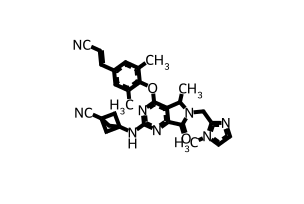 Cc1cc(/C=C/C#N)cc(C)c1Oc1nc(NC23CC(C#N)(C2)C3)nc2c1C(C)N(Cc1nccn1C)C2=O